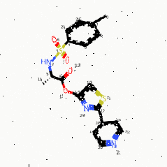 Cc1ccc(S(=O)(=O)N[C@@H](C)C(=O)Oc2csc(-c3ccncc3)n2)cc1